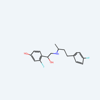 CC(CCc1ccc(F)cc1)NCC(O)c1ccc(O)cc1F